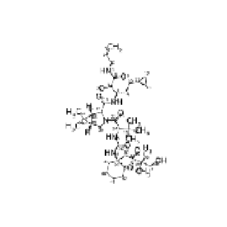 C=CCNC(=O)C(=O)[C@H](CCC1CC1)NC(=O)[C@@H]1[C@@H]2[C@H](CN1C(=O)[C@@H](NC(=O)NC1(CS(=O)(=O)C(C)(C)CO)CCCCC1)C(C)(C)C)C2(C)C